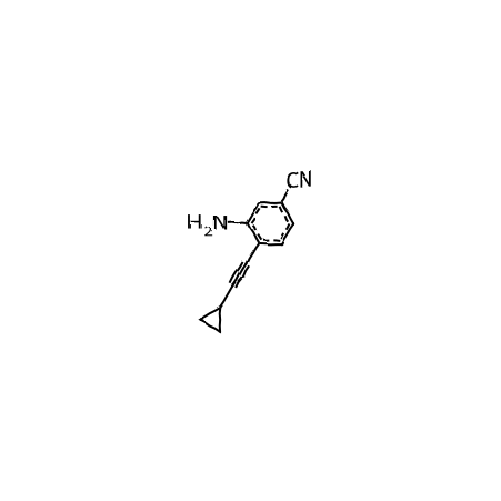 N#Cc1ccc(C#CC2CC2)c(N)c1